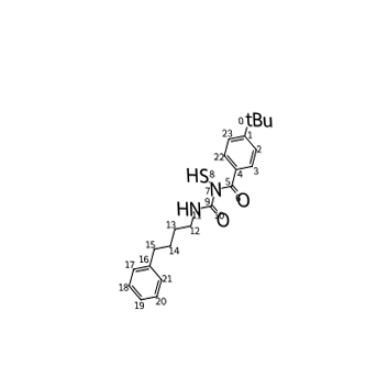 CC(C)(C)c1ccc(C(=O)N(S)C(=O)NCCCCc2ccccc2)cc1